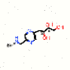 CC[C@@H](C)NCc1cnc(C[C@H](O)[C@H](O)CO)cn1